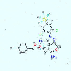 N#Cc1nn(-c2c(Cl)cc(S(F)(F)(F)(F)F)cc2Cl)c(NC(=O)OCc2ccc(F)cc2)c1C1(C(N)=O)CC1(F)F